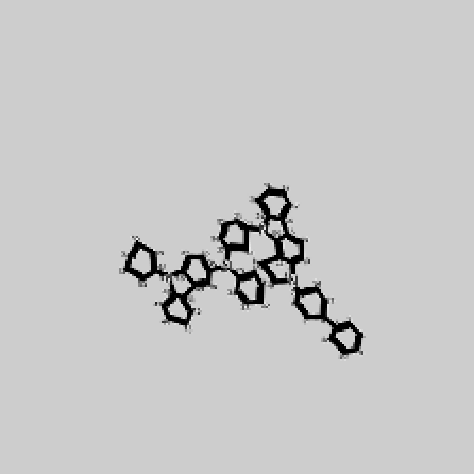 c1ccc(-c2ccc(-n3ccc4c3ccc3c5ccccc5n(-c5cccc(N(c6ccccc6)c6ccc7c(c6)c6ccccc6n7-c6ccccc6)c5)c34)cc2)cc1